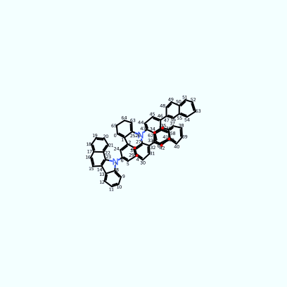 C1=C(c2cccc(-n3c4ccccc4c4ccc5ccccc5c43)c2)C(N(c2ccccc2-c2ccc3ccccc3c2)c2ccc(-c3ccc4ccccc4c3)c3ccccc23)=CCC1